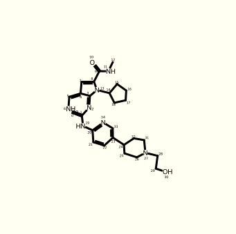 C=C(/N=C1\C(=C/N)C=C(C(=O)NC)N1C1CCCC1)Nc1ccc(C2CCN(CCO)CC2)cn1